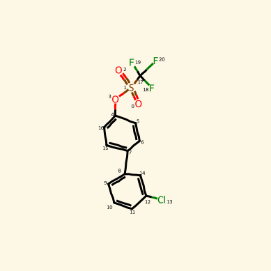 O=S(=O)(Oc1ccc(-c2cccc(Cl)c2)cc1)C(F)(F)F